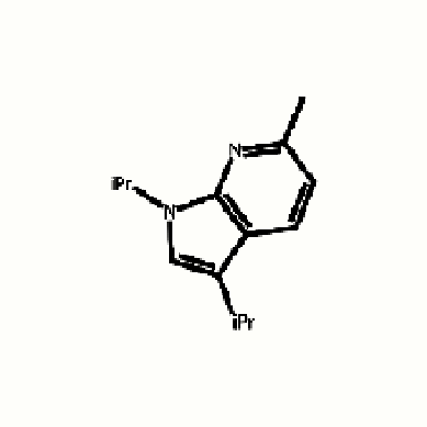 Cc1ccc2c(C(C)C)cn(C(C)C)c2n1